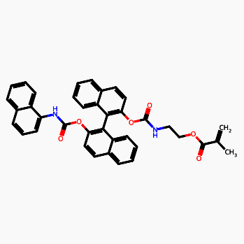 C=C(C)C(=O)OCCNC(=O)Oc1ccc2ccccc2c1-c1c(OC(=O)Nc2cccc3ccccc23)ccc2ccccc12